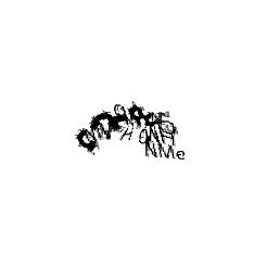 CNC(=O)Nc1cc(-c2cccc(NC(=O)c3ccc(N4CCCCC4)nc3)c2C)cn(C)c1=O